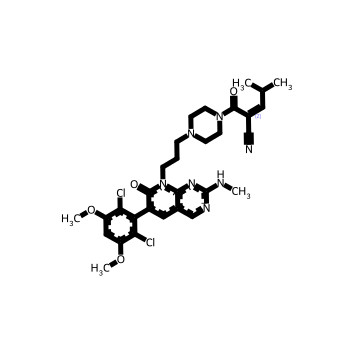 CNc1ncc2cc(-c3c(Cl)c(OC)cc(OC)c3Cl)c(=O)n(CCCN3CCN(C(=O)/C(C#N)=C\C(C)C)CC3)c2n1